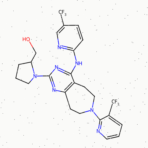 OCC1CCCN1c1nc2c(c(Nc3ccc(C(F)(F)F)cn3)n1)CCN(c1ncccc1C(F)(F)F)CC2